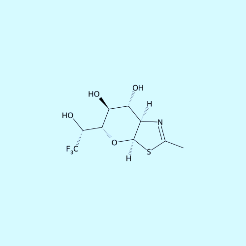 CC1=N[C@@H]2[C@@H](O)[C@H](O)[C@@H]([C@@H](O)C(F)(F)F)O[C@@H]2S1